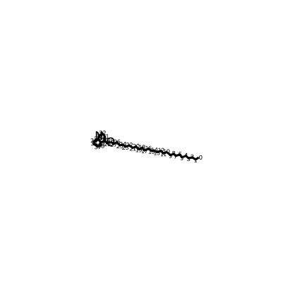 CCCCCCCCCCCCCCCCCCCCCCCCCCCCOCc1ccnc2ccccc12